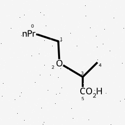 CCC[CH]OC(C)C(=O)O